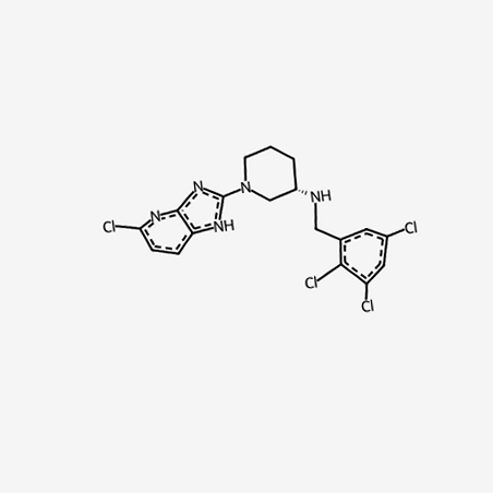 Clc1cc(Cl)c(Cl)c(CN[C@H]2CCCN(c3nc4nc(Cl)ccc4[nH]3)C2)c1